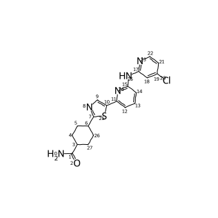 NC(=O)C1CCC(c2ncc(-c3cccc(Nc4cc(Cl)ccn4)n3)s2)CC1